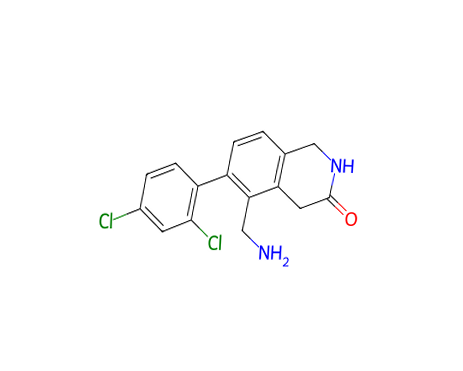 NCc1c(-c2ccc(Cl)cc2Cl)ccc2c1CC(=O)NC2